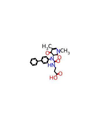 CC1=CN(C)C(=O)[C@@H](N(C(=O)NCCC(=O)O)c2ccc(-c3ccccc3)cc2)C1=O